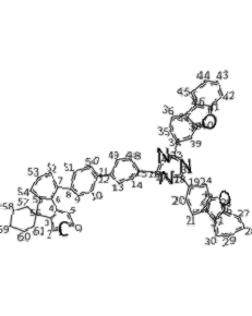 c1ccc2c(c1)-c1c(-c3ccc(-c4ccc(-c5nc(-c6ccc7c(c6)oc6ccccc67)nc(-c6ccc7c(c6)oc6ccccc67)n5)cc4)cc3)cccc1C21CCCCC1